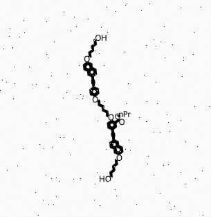 CCCOC(=O)c1cc(C#Cc2ccc3cc(OCCCCCCO)ccc3c2)ccc1OCCCCCCOc1ccc(C#Cc2ccc3cc(OCCCCCCO)ccc3c2)cc1